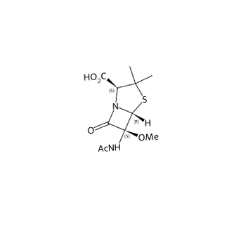 CO[C@@]1(NC(C)=O)C(=O)N2[C@@H](C(=O)O)C(C)(C)S[C@@H]21